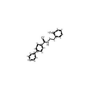 O=C(NCCc1ccccc1F)c1ccc(-c2ccncc2)cc1